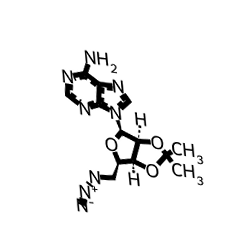 CC1(C)O[C@@H]2[C@H](O1)[C@H](n1cnc3c(N)ncnc31)O[C@@H]2CN=[N+]=[N-]